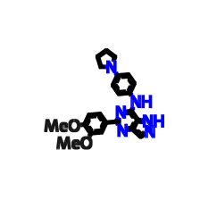 COc1ccc(-c2nc(Nc3ccc(N4CCCC4)cc3)c3[nH]ncc3n2)cc1OC